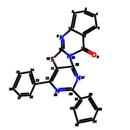 O=c1c2ccccc2nc2sc3c(-c4ccccc4)nc(-c4ccccc4)nc3n12